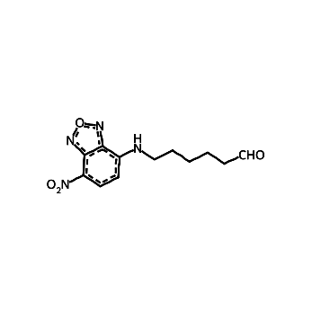 O=CCCCCCNc1ccc([N+](=O)[O-])c2nonc12